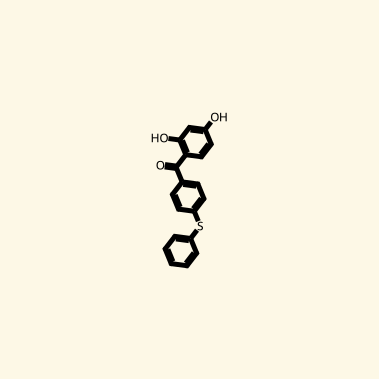 O=C(c1ccc(Sc2ccccc2)cc1)c1ccc(O)cc1O